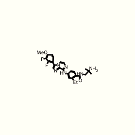 CCc1cc(Nc2nccn3c(-c4ccc(OC)c(F)c4F)cnc23)ccc1C(=O)NCC(C)(C)N